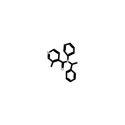 Cc1cnccc1C(=O)N(c1ccccc1)C(C)c1ccccc1